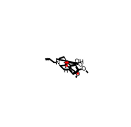 C=CCN1CC[C@@]23CC(=O)C(OC)C[C@@H]2C1Cc1ccc(OC)c(O)c13